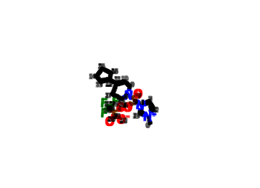 C[n+]1ccn(S(=O)(=O)N2CC=C(C3=CCCC3)CC2)c1.O=S(=O)([O-])C(F)(F)F